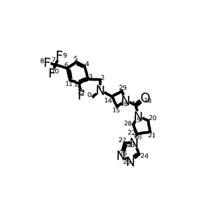 CN(Cc1ccc(C(F)(F)F)cc1F)C1CN(C(=O)N2CC[C@H](n3cnnc3)C2)C1